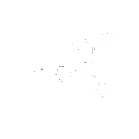 CCNC(=O)Nc1cc(-c2nc(C(F)(F)F)c(C(=O)NC3CCCC3)s2)c(-c2cncc(-c3n[nH]c(=O)o3)c2)cn1